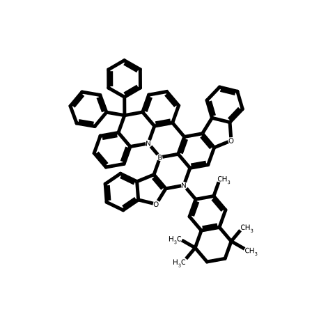 Cc1cc2c(cc1N1c3cc4oc5ccccc5c4c4c3B(c3c1oc1ccccc31)N1c3ccccc3C(c3ccccc3)(c3ccccc3)c3cccc-4c31)C(C)(C)CCC2(C)C